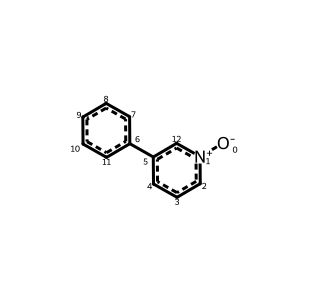 [O-][n+]1cccc(-c2cc[c]cc2)c1